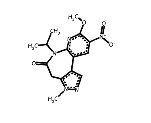 COc1nc2c(cc1[N+](=O)[O-])-c1cnn(C)c1CC(=O)N2C(C)C